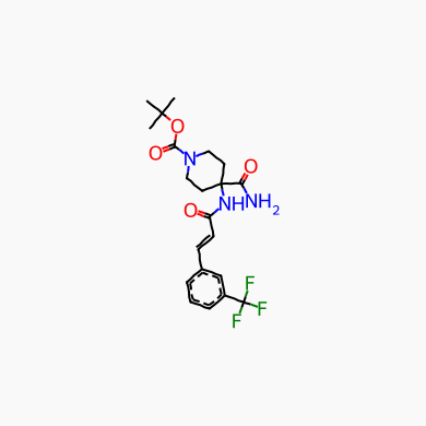 CC(C)(C)OC(=O)N1CCC(NC(=O)C=Cc2cccc(C(F)(F)F)c2)(C(N)=O)CC1